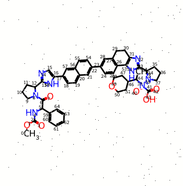 COC(=O)NC(C(=O)N1CCCC1c1ncc(-c2ccc3cc(-c4ccc5c(c4)CCc4nc(C6CCCN6[N+]([O-])(C(=O)O)C(C)C6CCOCC6)[nH]c4-5)ccc3c2)[nH]1)c1ccccc1